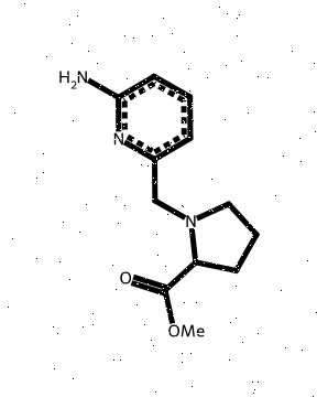 COC(=O)C1CCCN1Cc1cccc(N)n1